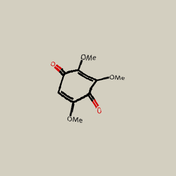 COC1=CC(=O)C(OC)=C(OC)C1=O